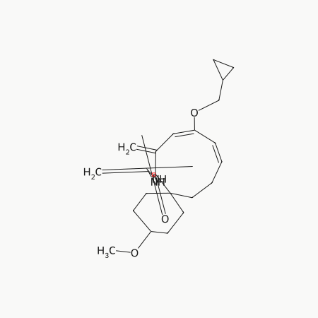 C=C1NC(=O)C2(N1)C(=C)/C=C(OCC1CC1)\C=C/CCC21CCC(OC)CC1